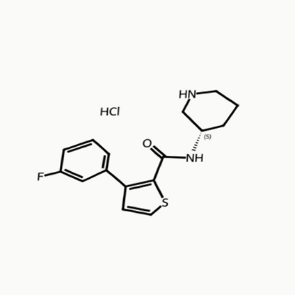 Cl.O=C(N[C@H]1CCCNC1)c1sccc1-c1cccc(F)c1